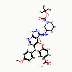 COc1ccc(Cc2cnc3[nH]nc(N[C@@H]4CCCN(C(=O)OC(C)(C)C)C4)c3c2Oc2ccc(C(=O)O)cc2)cc1